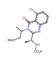 COCC(C)n1c([C@H](C)NC(=O)O)nc2cccc(Cl)c2c1=O